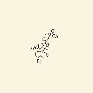 Cc1c(Br)ccc2c(O)c(NC(=O)[C@@H]3CN(C(=O)O)CCO3)c(=O)n(C3CC3)c12